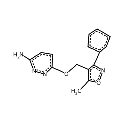 Cc1onc(-c2ccccc2)c1COc1ccc(N)nn1